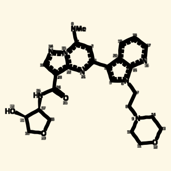 CNc1cc(-c2cn(CCN3CCOCC3)c3ncccc23)nc2c(C(=O)N[C@H]3COC[C@H]3O)cnn12